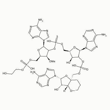 CO[C@@H]1C(OP(O)(=S)OC[C@H]2O[C@@H](n3cnc4c(N)ncnc43)C(OP(=O)(O)OC[C@]34CCCO[C@@H]3C(O)[C@H](n3cnc5c(N)ncnc53)O4)[C@H]2O)[C@H](n2cnc3c(N)ncnc32)O[C@@H]1COP(=O)(O)OCCO